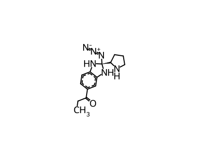 CCC(=O)c1ccc2c(c1)N[C@](N=[N+]=[N-])(C1CCCN1)N2